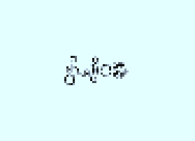 O=C1CN(Cc2cc(Cl)nc3ccccc23)C(=O)N1c1ccc(S(=O)(=O)C(F)(F)F)cc1